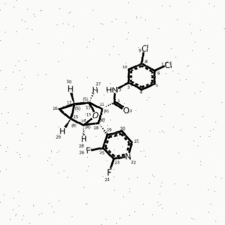 O=C(Nc1ccc(Cl)c(Cl)c1)[C@H]1[C@H]2O[C@H]([C@@H]3C[C@@H]32)[C@H]1c1ccnc(F)c1F